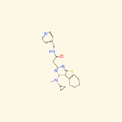 CN(c1nc(CC(=O)NCc2ccncc2)nc2sc3c(c12)CCCC3)C1CC1